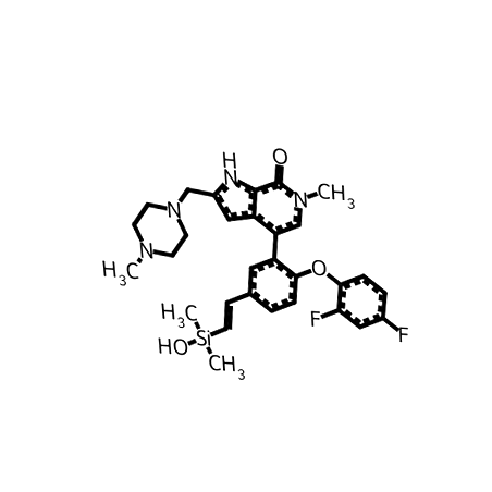 CN1CCN(Cc2cc3c(-c4cc(/C=C/[Si](C)(C)O)ccc4Oc4ccc(F)cc4F)cn(C)c(=O)c3[nH]2)CC1